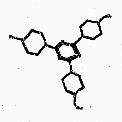 CCC(C)N1CCN(c2nc(N3CCN(C(C)C)CC3)nc(N3CCN(C(C)C)CC3)n2)CC1